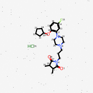 CC1C(=O)N(CCCN2CCN(c3cc(F)ccc3OC3CCCC3)CC2)C(=O)C1C.Cl